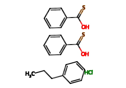 CCCc1ccccc1.Cl.OC(=S)c1ccccc1.OC(=S)c1ccccc1